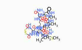 CSCC[C@H](NC(=O)[C@H](CC(C)C)NC(=O)[C@H](Cc1cnc[nH]1)NC(=O)CNC(=O)[C@@H](NC(=O)C(C)NC(=O)[C@H](Cc1c[nH]c2ccccc12)NC(=O)[C@H](CCC(N)=O)NC(=O)CCCCNC(=O)CC1CNC(=O)CSSCC(=O)NC1)C(C)C)C(N)=O